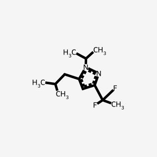 CC(C)Cc1cc(C(C)(F)F)nn1C(C)C